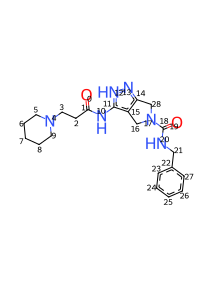 O=C(CCN1CCCCC1)Nc1[nH]nc2c1CN(C(=O)NCc1ccccc1)C2